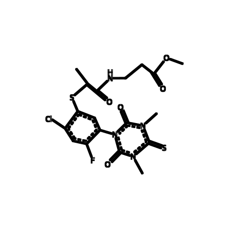 COC(=O)CCNC(=O)C(C)Sc1cc(-n2c(=O)n(C)c(=S)n(C)c2=O)c(F)cc1Cl